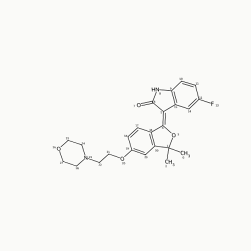 CC1(C)O/C(=C2/C(=O)Nc3ccc(F)cc32)c2ccc(OCCN3CCOCC3)cc21